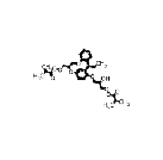 C=C(C)C(=O)OOCC(O)COc1ccccc1C(CC)c1ccccc1OCC(O)COOC(=O)C(=C)C